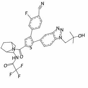 CC(C)(O)Cn1nnc2cc(-c3sc(C(=O)N4C5CCC4C(NC(=O)C(F)(F)F)C5)cc3-c3ccc(C#N)c(F)c3)ccc21